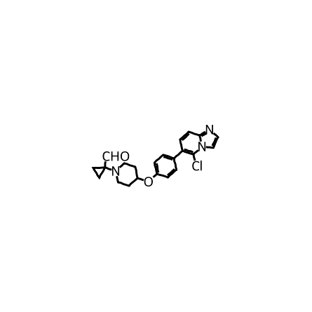 O=CC1(N2CCC(Oc3ccc(-c4ccc5nccn5c4Cl)cc3)CC2)CC1